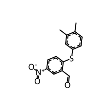 Cc1ccc(Sc2ccc([N+](=O)[O-])cc2C=O)cc1C